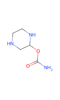 NC(=O)OC1CNCCN1